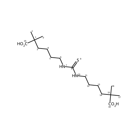 CC(C)(CCCCNC(=S)NCCCCC(C)(C)C(=O)O)C(=O)O